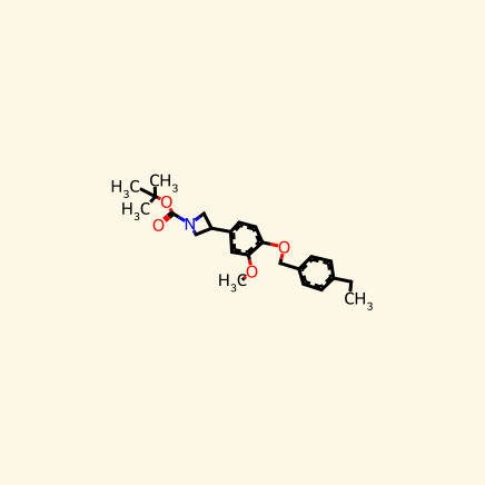 CCc1ccc(COc2ccc(C3CN(C(=O)OC(C)(C)C)C3)cc2OC)cc1